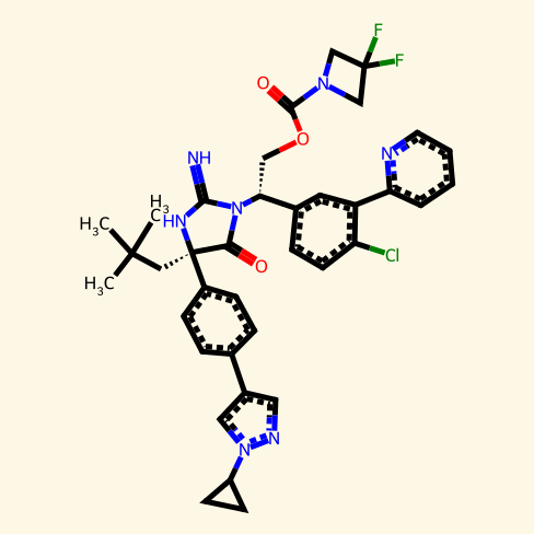 CC(C)(C)C[C@]1(c2ccc(-c3cnn(C4CC4)c3)cc2)NC(=N)N([C@H](COC(=O)N2CC(F)(F)C2)c2ccc(Cl)c(-c3ccccn3)c2)C1=O